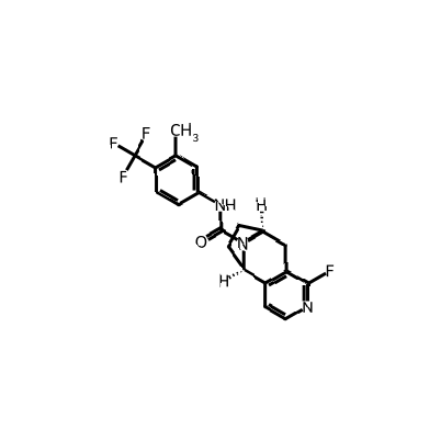 Cc1cc(NC(=O)N2[C@H]3CC[C@@H]2c2ccnc(F)c2C3)ccc1C(F)(F)F